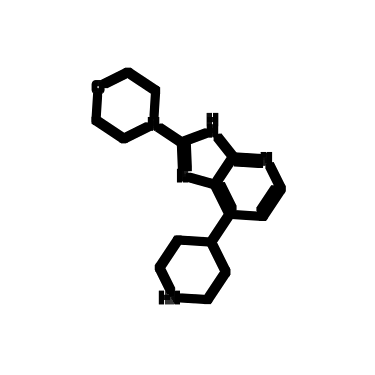 c1cc(C2CCNCC2)c2nc(N3CCOCC3)[nH]c2n1